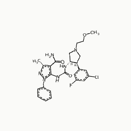 COCCN1C[C@@H](NC(=O)Nc2c(C(N)=O)c(C)nn2-c2ccccc2)[C@H](c2cc(F)cc(Cl)c2)C1